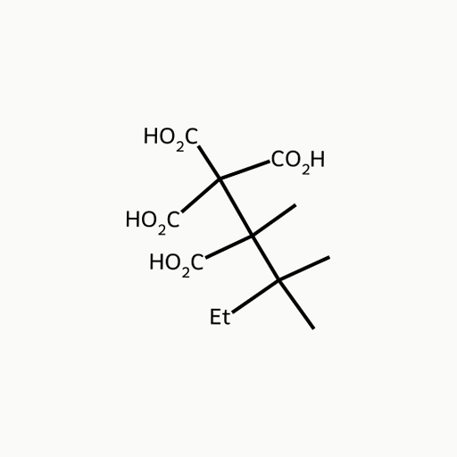 CCC(C)(C)C(C)(C(=O)O)C(C(=O)O)(C(=O)O)C(=O)O